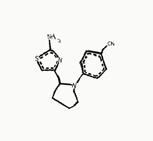 N#Cc1ccc(N2CCCC2c2csc(N)n2)cc1